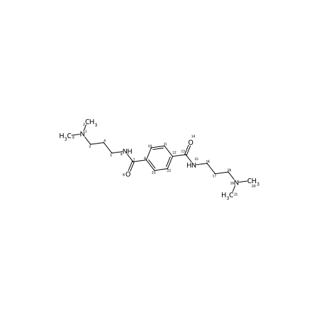 CN(C)CCCNC(=O)c1ccc(C(=O)NCCCN(C)C)cc1